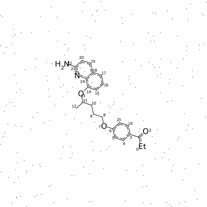 CCC(=O)c1ccc(OCCCC(C)Oc2cccc3ccc(N)nc23)cc1